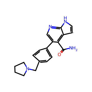 NC(=O)c1c(-c2ccc(CN3CCCC3)cc2)cnc2[nH]c[c]c12